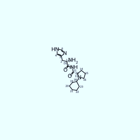 N[C@@H](Cc1c[nH]cn1)C(=O)NC(=O)[C@@H]1CCCN1C1CCCCC1